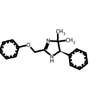 CC1(C)N=C(COc2ccccc2)N[C@@H]1c1ccccc1